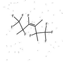 CC(=C(F)C(C)(F)C(F)(F)F)C(C)(F)C(F)(F)F